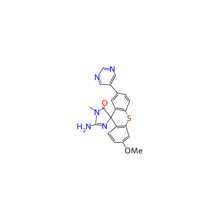 COc1ccc2c(c1)Sc1ccc(-c3cncnc3)cc1C21N=C(N)N(C)C1=O